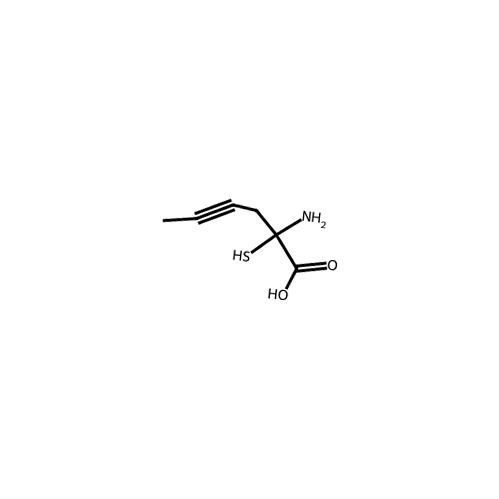 CC#CCC(N)(S)C(=O)O